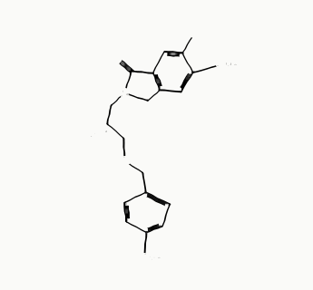 COc1ccc(COC[C@H](C)CN2Cc3cc(OC)c(Cl)cc3C2=O)cc1